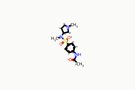 CC(=O)Nc1ccc(S(=O)(=O)N(C)C2CCN(C)C2)cc1